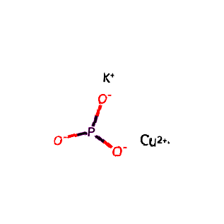 [Cu+2].[K+].[O-]P([O-])[O-]